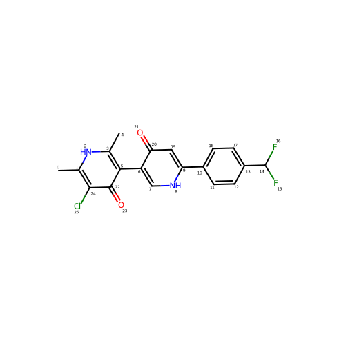 Cc1[nH]c(C)c(-c2c[nH]c(-c3ccc(C(F)F)cc3)cc2=O)c(=O)c1Cl